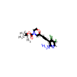 CC(C)(C)OC(=O)N1CCOC(C#Cc2c(N)ncc(F)c2Br)C1